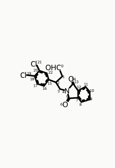 O=CCC(CN1C(=O)c2ccccc2C1=O)c1ccc(Cl)c(Cl)c1